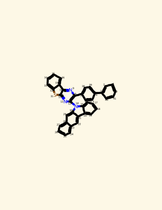 c1ccc(-c2ccc(-c3nc4c(nc3-n3c5ccccc5c5cc6ccccc6cc53)sc3ccccc34)cc2)cc1